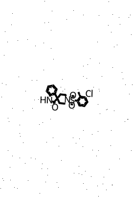 Cc1c(Cl)cccc1S(=O)(=O)N1CCC2(CC1)C(=O)Nc1ccccc12